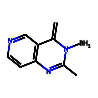 BN1C(=C)c2cnccc2N=C1C